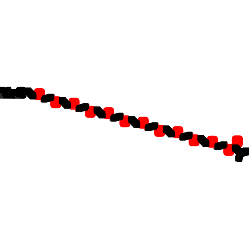 C=C(C)C(=O)OCCOCCOCCOCCOCCOCCOCCOCCOCCOCCOCCOCCOC